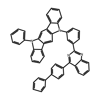 c1ccc(-c2ccc(-c3nc(-c4cccc(-n5c6ccccc6c6cc7c(cc65)c5ccccc5n7-c5ccccc5)c4)nc4ccccc34)cc2)cc1